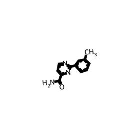 Cc1cccc(-c2nccc(C(N)=O)n2)c1